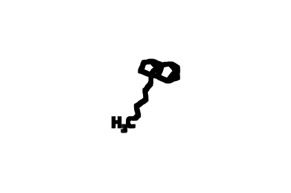 CCCCCCC12CCC(C1)C1C3C=CC(C3)C12